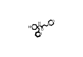 O=C(CCN1CCOCC1)NC1(Cc2ccccn2)CCNCC1